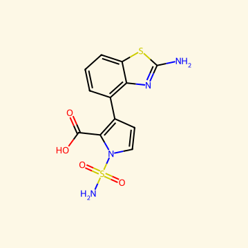 Nc1nc2c(-c3ccn(S(N)(=O)=O)c3C(=O)O)cccc2s1